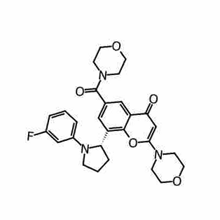 O=C(c1cc([C@@H]2CCCN2c2cccc(F)c2)c2oc(N3CCOCC3)cc(=O)c2c1)N1CCOCC1